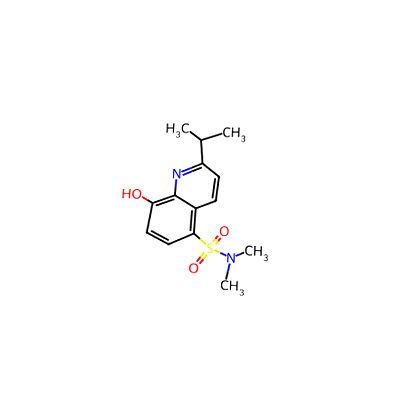 CC(C)c1ccc2c(S(=O)(=O)N(C)C)ccc(O)c2n1